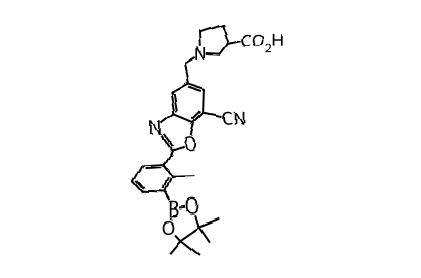 Cc1c(B2OC(C)(C)C(C)(C)O2)cccc1-c1nc2cc(CN3CCC(C(=O)O)C3)cc(C#N)c2o1